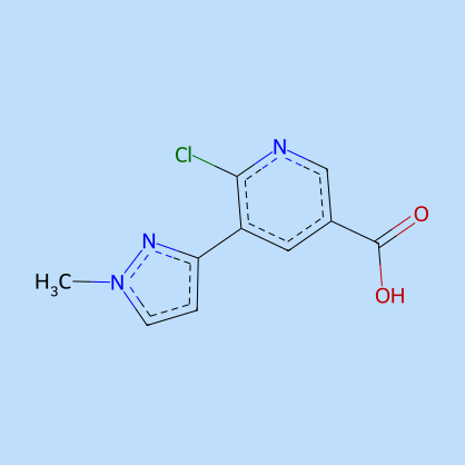 Cn1ccc(-c2cc(C(=O)O)cnc2Cl)n1